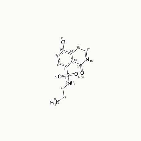 NCCNS(=O)(=O)c1ccc(Cl)c2c1C(=O)N=CC2